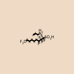 C=CCN.O=S(=O)(O)C(F)(F)C(F)(F)C(F)CCCCCC(F)(F)F